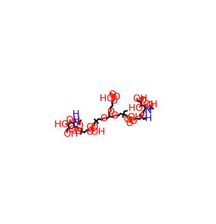 CCC(C)(CCOCC(COCCCOP(=O)(O)OC)COCCC(C)(C)COP(=O)(O)OCCC(C)(C)OCC1OC(CO)C(O)C(O)C1NC(C)=O)COP(=O)(O)OCCC(C)(CC)OCC(NC(C)=O)C(O)C(O)C(CO)OC